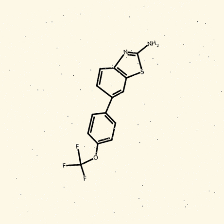 Nc1nc2ccc(-c3ccc(OC(F)(F)F)cc3)cc2s1